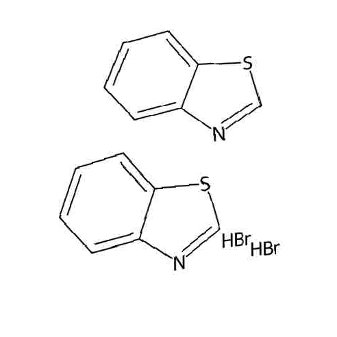 Br.Br.c1ccc2scnc2c1.c1ccc2scnc2c1